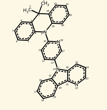 CC1(C)c2ccccc2N(c2ccc(-n3c4ccccc4c4ncccc43)cn2)c2ccccc21